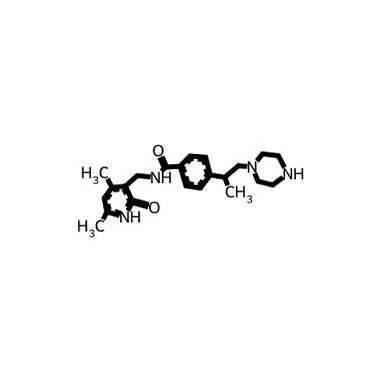 Cc1cc(C)c(CNC(=O)c2ccc(C(C)CN3CCNCC3)cc2)c(=O)[nH]1